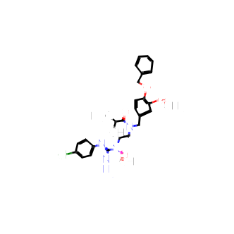 COc1cc(CN(CCN(OC)C(N)=Nc2ccc(Cl)cc2)C(=O)C(C)C)ccc1OCc1ccccc1